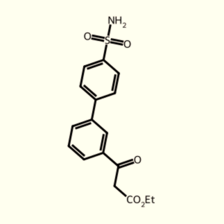 CCOC(=O)CC(=O)c1cccc(-c2ccc(S(N)(=O)=O)cc2)c1